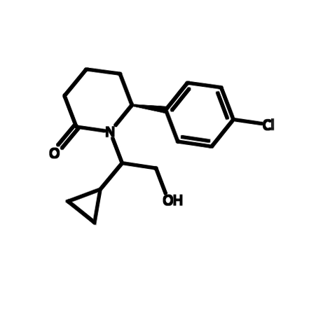 O=C1CCC[C@@H](c2ccc(Cl)cc2)N1C(CO)C1CC1